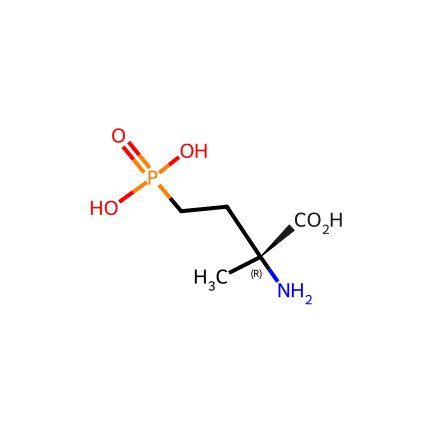 C[C@@](N)(CCP(=O)(O)O)C(=O)O